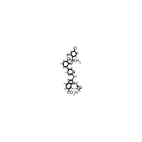 CC1(c2ccc(Cl)cc2F)Oc2cccc(-c3cnc(Cc4nc5ccc(C(=O)O)cc5n4C[C@@H]4CCO4)nc3)c2O1